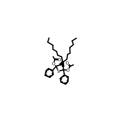 CCCCCCCC#CC(OC(C)=O)(SC(C#CCCCCCCC)(OC(C)=O)c1ccccc1)c1ccccc1